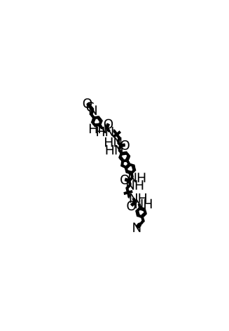 CC(C)(CNC(=O)Nc1ccc(CC#N)cc1)CNC(=O)Nc1ccc2c(c1)Cc1cc(NC(=O)NCC(C)(C)CNC(=O)Nc3ccc(CN=C=O)cc3)ccc1-2